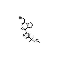 COCC(C)(C)c1nc(C(=O)C2CCCN2C(=O)CBr)no1